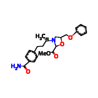 COC(=O)C1OC(COc2ccccc2)CN1[C@@H](C)CCc1ccc(C(N)=O)cc1